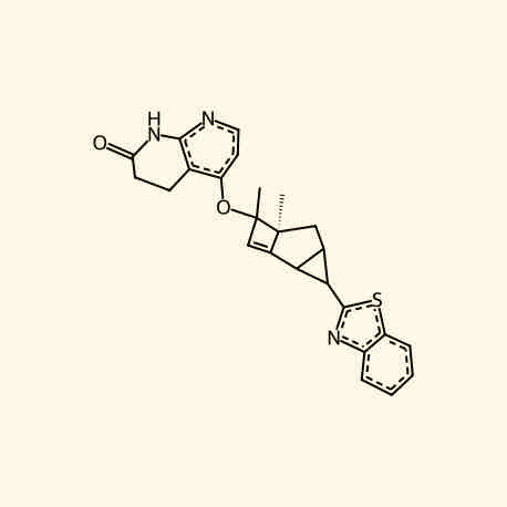 CC1(Oc2ccnc3c2CCC(=O)N3)C=C2C3C(C[C@@]21C)C3c1nc2ccccc2s1